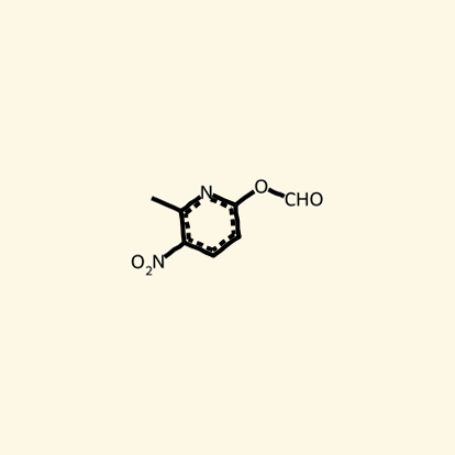 Cc1nc(OC=O)ccc1[N+](=O)[O-]